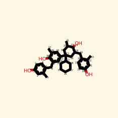 Cc1cc(O)ccc1Cc1cc(C2(C3CCCCC3)CC(C)C(O)C(Cc3ccc(O)cc3C)C2)cc(C)c1O